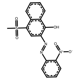 CS(=O)(=O)c1cc(N=Nc2ccccc2[N+](=O)[O-])c(O)c2ccccc12